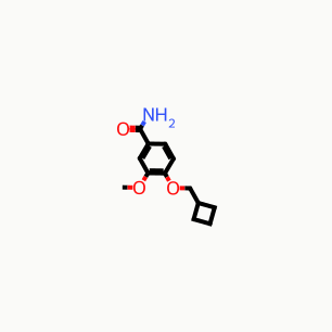 COc1cc(C(N)=O)ccc1OCC1CCC1